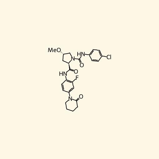 CO[C@H]1C[C@H](C(=O)Nc2ccc(N3CCCCC3=O)cc2F)N(C(=O)Nc2ccc(Cl)cc2)C1